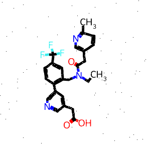 CCN(Cc1cc(C(F)(F)F)ccc1-c1cncc(CC(=O)O)c1)C(=O)Cc1ccc(C)nc1